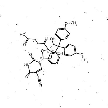 COc1ccc(C(c2ccccc2)(c2ccc(OC)cc2)C(O)[C@@]2(C(=O)CCC(=O)O)O[C@@H](n3cc(C#N)c(=O)[nH]c3=O)C[C@@H]2O)cc1